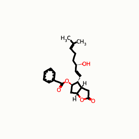 CC(C)=CCC[C@H](O)/C=C/[C@@H]1[C@H]2CC(=O)O[C@H]2C[C@H]1OC(=O)c1ccccc1